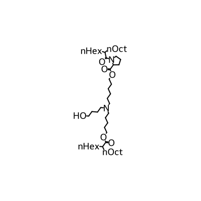 CCCCCCCCC(CCCCCC)C(=O)OCCCCCN(CCCCO)CCCCCCOC(=O)C1CCCN1C(=O)C(CCCCCC)CCCCCCCC